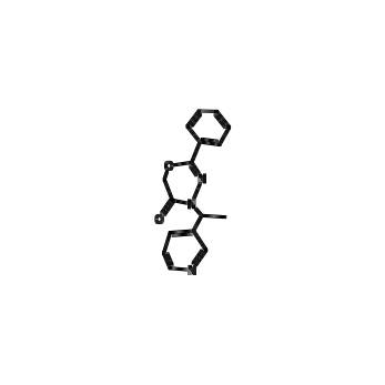 CC(c1cccnc1)N1N=C(c2ccccc2)OCC1=O